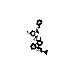 CO[C@@H]1C[C@H](C(=O)Nc2cc(C(N)(CCC3CC3)c3ccccc3)ccc2F)N(C(=O)OCc2ccccc2)C1